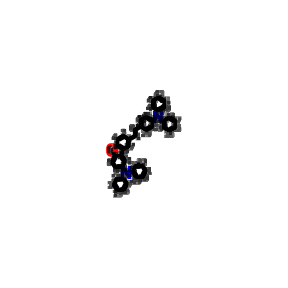 C(=C\c1ccc2oc3ccc(N(c4ccccc4)c4ccccc4)cc3c2c1)/c1ccc(N(c2ccccc2)c2ccccc2)cc1